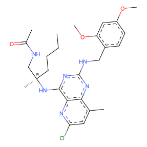 CCCC[C@](C)(CNC(C)=O)Nc1nc(NCc2ccc(OC)cc2OC)nc2c(C)cc(Cl)nc12